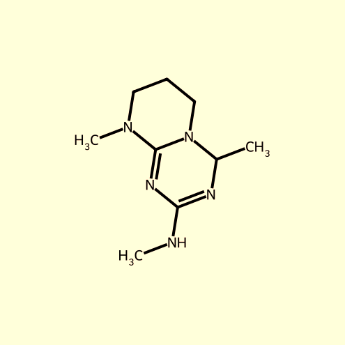 CNC1=NC(C)N2CCCN(C)C2=N1